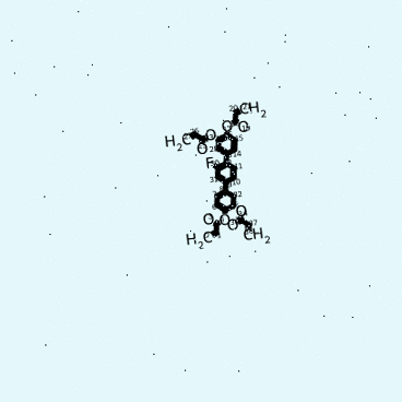 C=CC(=O)OC1=CC=C(c2ccc(-c3ccc(OC(=O)C=C)c(OC(=O)C=C)c3)c(F)c2)CC1OC(=O)C=C